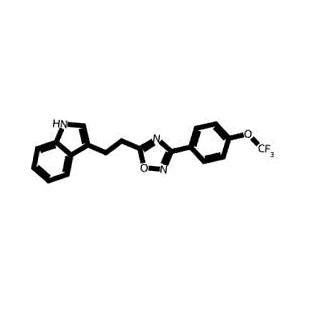 FC(F)(F)Oc1ccc(-c2noc(CCc3c[nH]c4ccccc34)n2)cc1